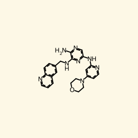 Nc1ncc(Nc2cc(N3CCOCC3)ccn2)nc1NCc1ccc2ncccc2c1